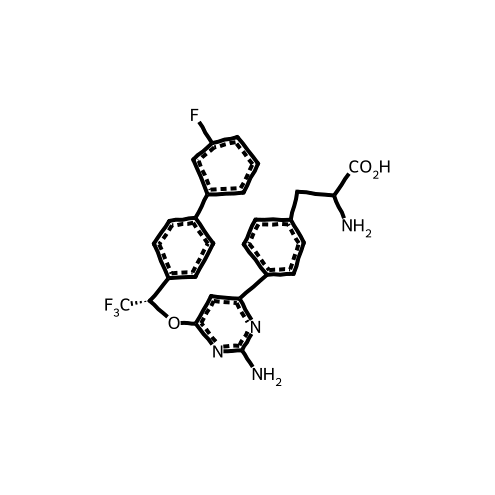 Nc1nc(O[C@@H](c2ccc(-c3cccc(F)c3)cc2)C(F)(F)F)cc(-c2ccc(CC(N)C(=O)O)cc2)n1